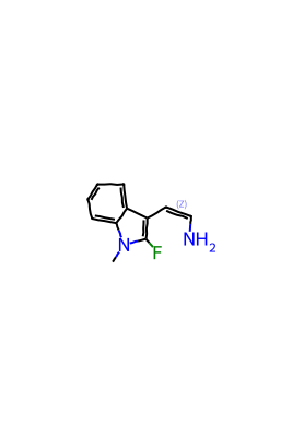 Cn1c(F)c(/C=C\N)c2ccccc21